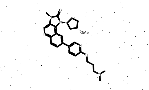 CO[C@H]1CC[C@H](n2c(=O)n(C)c3cnc4ccc(-c5ccc(OCCCN(C)C)nc5)cc4c32)C1